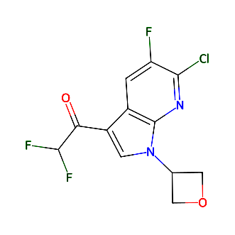 O=C(c1cn(C2COC2)c2nc(Cl)c(F)cc12)C(F)F